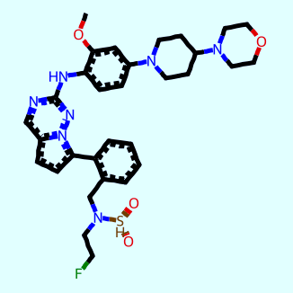 COc1cc(N2CCC(N3CCOCC3)CC2)ccc1Nc1ncc2ccc(-c3ccccc3CN(CCF)[SH](=O)=O)n2n1